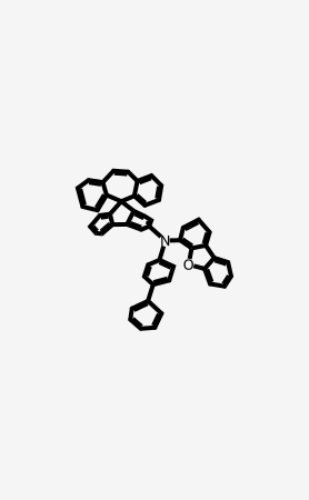 C1=Cc2ccccc2C2(c3ccccc31)c1ccccc1-c1cc(N(c3ccc(-c4ccccc4)cc3)c3cccc4c3oc3ccccc34)ccc12